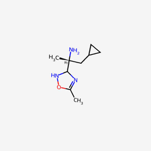 CC1=NC([C@](C)(N)CC2CC2)NO1